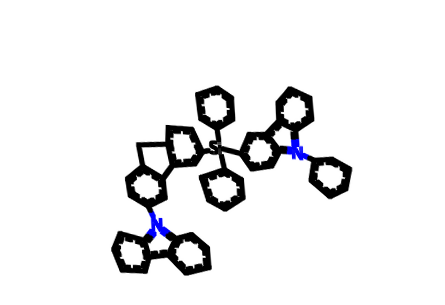 c1ccc(-n2c3ccccc3c3cc([Si](c4ccccc4)(c4ccccc4)c4ccc5c(c4)-c4cc(-n6c7ccccc7c7ccccc76)ccc4C5)ccc32)cc1